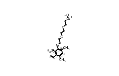 COCCOCCOCCOc1c(C)cc(C)c(C=O)c1C